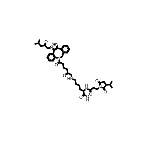 CC(C)CC(=O)Cn1nnc2c1-c1ccccc1N(C(=O)CCCC(=O)CNCCCCC(NC(=O)CCN1C(=O)CC(C(C)C)C1=O)C(=O)O)Cc1ccccc1-2